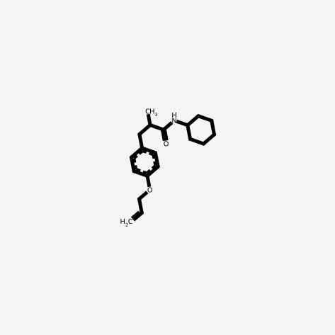 C=CCOc1ccc(CC(C)C(=O)NC2CCCCC2)cc1